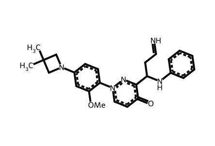 COc1cc(N2CC(C)(C)C2)ccc1-n1ccc(=O)c(C(CC=N)Nc2ccccc2)n1